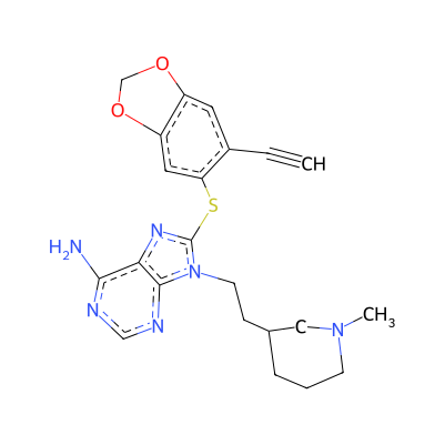 C#Cc1cc2c(cc1Sc1nc3c(N)ncnc3n1CCC1CCCN(C)C1)OCO2